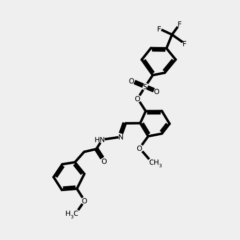 COc1cccc(CC(=O)NN=Cc2c(OC)cccc2OS(=O)(=O)c2ccc(C(F)(F)F)cc2)c1